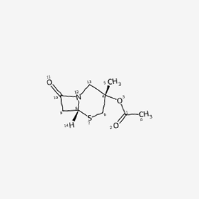 CC(=O)O[C@]1(C)CS[C@@H]2CC(=O)N2C1